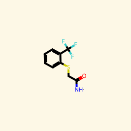 [NH]C(=O)CSc1ccccc1C(F)(F)F